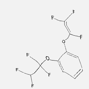 FC(F)=C(F)Oc1ccccc1OC(F)(F)C(F)F